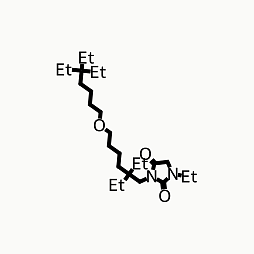 CCN1CC(=O)N(CC(CC)(CC)CCCCOCCCCC(CC)(CC)CC)C1=O